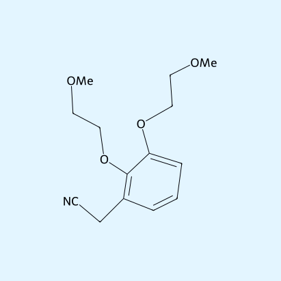 COCCOc1cccc(CC#N)c1OCCOC